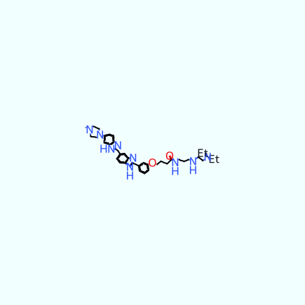 CCN(CC)CCNCCCNC(=O)CCCOc1cccc(-c2nc3cc(-c4nc5ccc(N6CCN(C)CC6)cc5[nH]4)ccc3[nH]2)c1